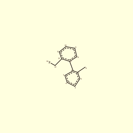 Cc1ccccc1-c1ccccc1CF